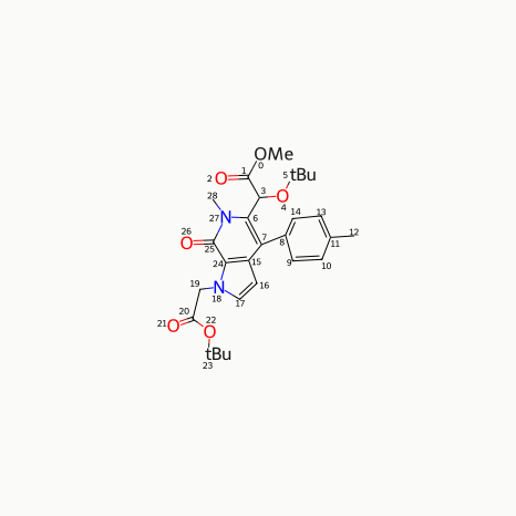 COC(=O)C(OC(C)(C)C)c1c(-c2ccc(C)cc2)c2ccn(CC(=O)OC(C)(C)C)c2c(=O)n1C